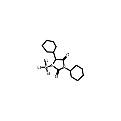 CC[Si](CC)(CC)N1C(=O)N(C2CCCCC2)C(=O)C1C1CCCCC1